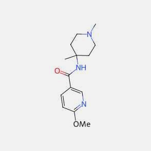 COc1ccc(C(=O)NC2(C)CCN(C)CC2)cn1